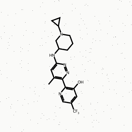 Cc1cc(NC2CCCN(C3CC3)C2)nnc1-c1ncc(C(F)(F)F)cc1O